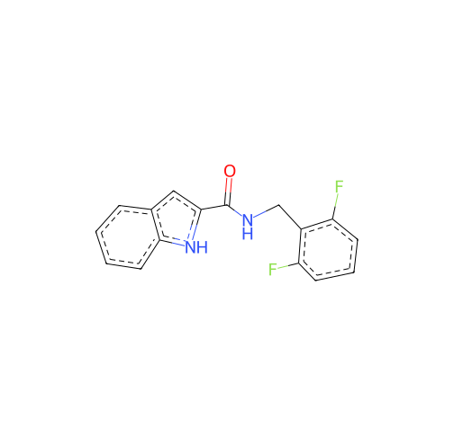 O=C(NCc1c(F)cccc1F)c1cc2ccccc2[nH]1